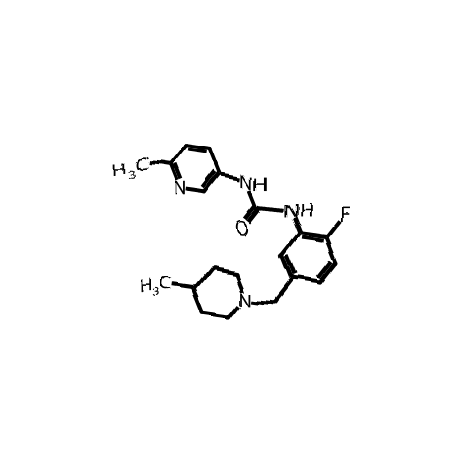 Cc1ccc(NC(=O)Nc2cc(CN3CCC(C)CC3)ccc2F)cn1